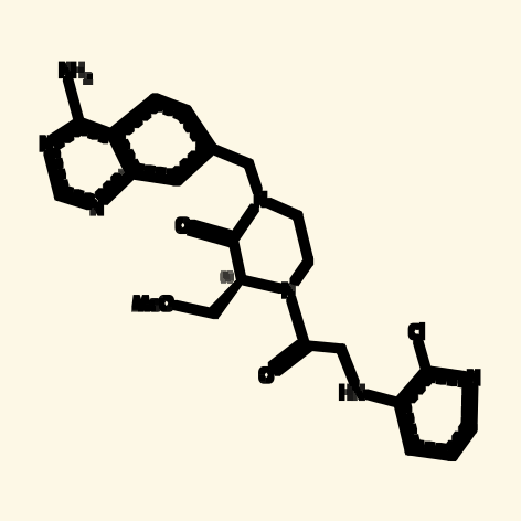 COC[C@H]1C(=O)N(Cc2ccc3c(N)ncnc3c2)CCN1C(=O)CNc1cccnc1Cl